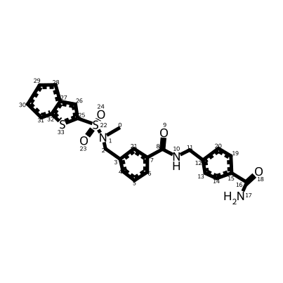 CN(Cc1cccc(C(=O)NCc2ccc(C(N)=O)cc2)c1)S(=O)(=O)c1cc2ccccc2s1